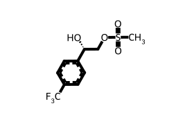 CS(=O)(=O)OC[C@@H](O)c1ccc(C(F)(F)F)cc1